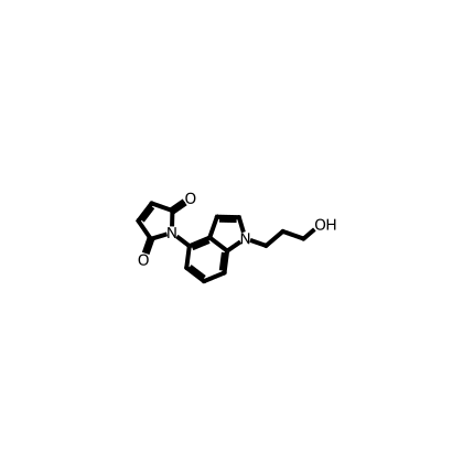 O=C1C=CC(=O)N1c1cccc2c1ccn2CCCO